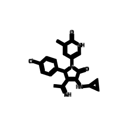 CC(=N)C1=C(NC2CC2)C(=O)N(c2c[nH]c(=O)c(C)c2)C1c1ccc(Cl)cc1